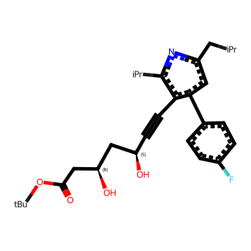 CC(C)Cc1cc(-c2ccc(F)cc2)c(C#C[C@@H](O)C[C@@H](O)CC(=O)OC(C)(C)C)c(C(C)C)n1